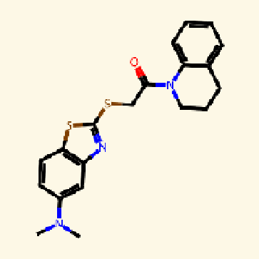 CN(C)c1ccc2sc(SCC(=O)N3CCCc4ccccc43)nc2c1